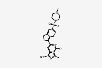 CCCc1nn(C)c2c(=O)[nH]c(C3=C4OC=C(S(=O)(=O)N5CCN(C)CC5)C=C4CC3)nc12